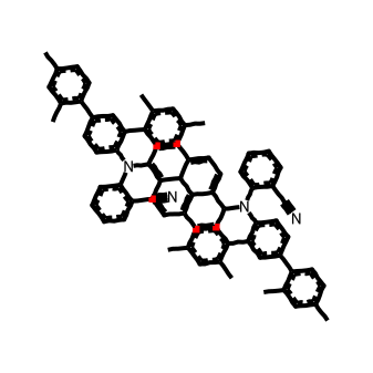 Cc1ccc(-c2ccc(N(C3=C4C=CC5=C6C(=CC=C(C=C3)C46)C(N(c3ccccc3C#N)c3ccc(-c4ccc(C)cc4C)cc3-c3ccc(C)cc3C)C=C5)c3ccccc3C#N)c(-c3ccc(C)cc3C)c2)c(C)c1